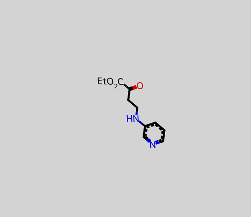 CCOC(=O)C(=O)CCNc1cccnc1